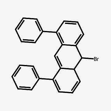 BrC1c2cccc(-c3ccccc3)c2C=C2C(c3ccccc3)=CC=CC21